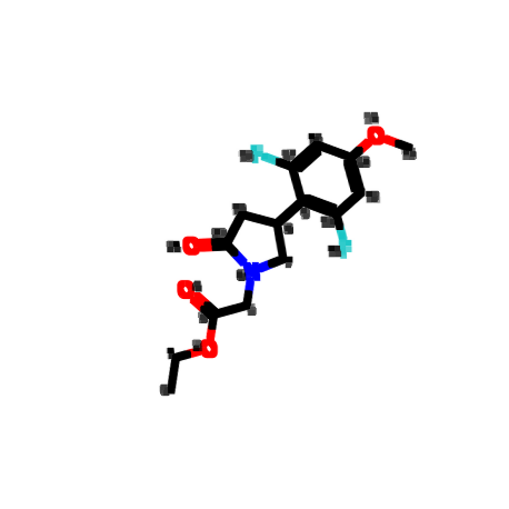 CCOC(=O)CN1CC(c2c(F)cc(OC)cc2F)CC1=O